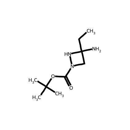 CCC1(N)CN(C(=O)OC(C)(C)C)N1